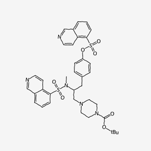 CN(C(Cc1ccc(OS(=O)(=O)c2cccc3cnccc23)cc1)CN1CCN(C(=O)OC(C)(C)C)CC1)S(=O)(=O)c1cccc2cnccc12